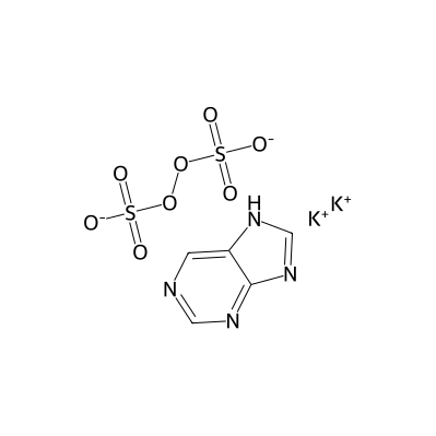 O=S(=O)([O-])OOS(=O)(=O)[O-].[K+].[K+].c1ncc2[nH]cnc2n1